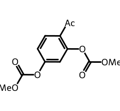 COC(=O)Oc1ccc(C(C)=O)c(OC(=O)OC)c1